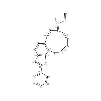 C=C/C(C)=C1\C=C/C=C\Cc2c(ccc3nc(-c4ccccc4)oc23)/C=C\1